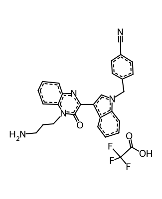 N#Cc1ccc(Cn2cc(-c3nc4ccccc4n(CCCN)c3=O)c3ccccc32)cc1.O=C(O)C(F)(F)F